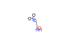 [NH]C(=O)CCCCC1CCN(C(c2ccccc2)c2ccccc2)CC1